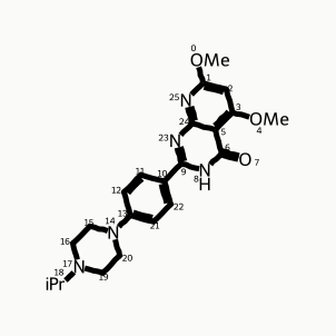 COc1cc(OC)c2c(=O)[nH]c(-c3ccc(N4CCN(C(C)C)CC4)cc3)nc2n1